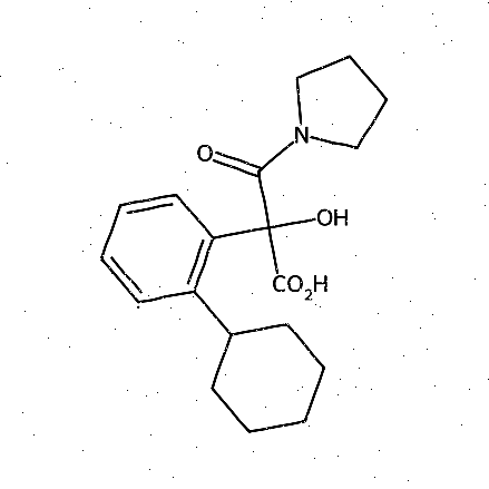 O=C(O)C(O)(C(=O)N1CCCC1)c1ccc[c]c1C1CCCCC1